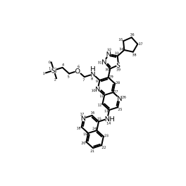 C[Si](C)(C)CCOCNc1nc2cc(Nc3cncc4ccccc34)cnc2cc1-c1nnc(C2CCCC2)s1